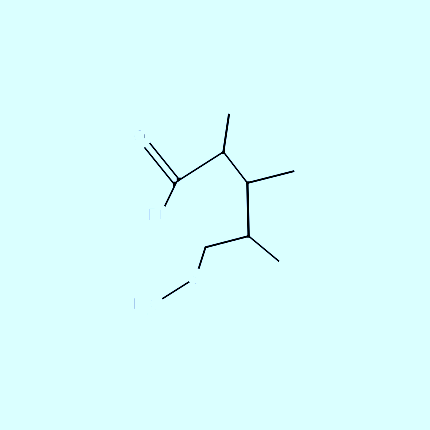 CCC(=O)C(C)C(C)C(C)CSC(F)(F)F